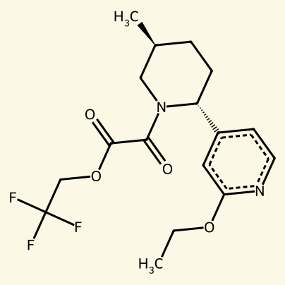 CCOc1cc([C@H]2CC[C@H](C)CN2C(=O)C(=O)OCC(F)(F)F)ccn1